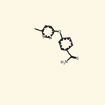 Cc1ccc(Oc2ccc(C(N)=O)cc2)nn1